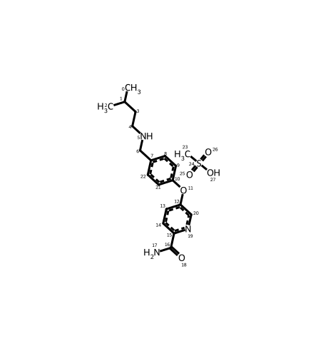 CC(C)CCNCc1ccc(Oc2ccc(C(N)=O)nc2)cc1.CS(=O)(=O)O